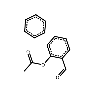 CC(=O)Oc1ccccc1C=O.c1ccccc1